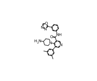 Cc1cc(C)cc(-c2cncc(C(=O)Nc3cccc(-c4nnco4)c3)c2N2CCC(N)CC2)c1